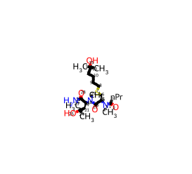 CCCC(=O)N(C)[C@H](CSCCCCC(C)(C)O)C(=O)N(C)[C@@H](CC(C)(C)O)C(N)=O